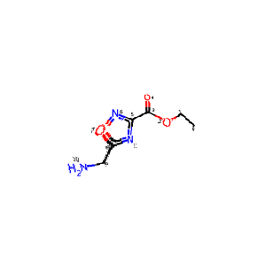 CCOC(=O)c1noc(CN)n1